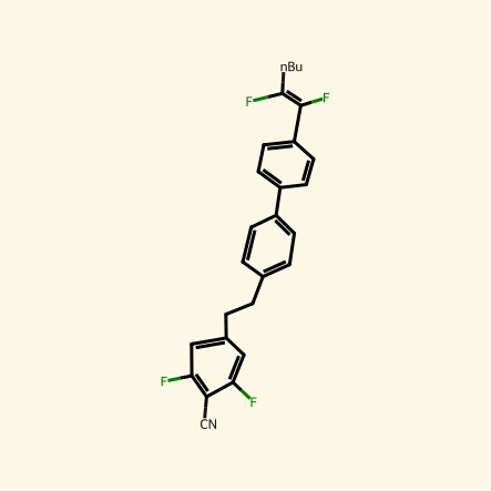 CCCC/C(F)=C(\F)c1ccc(-c2ccc(CCc3cc(F)c(C#N)c(F)c3)cc2)cc1